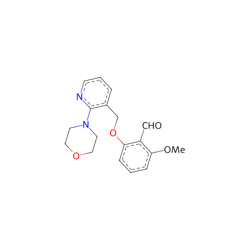 COc1cccc(OCc2cccnc2N2CCOCC2)c1C=O